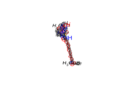 C[C@@H](C(=O)N[C@H](C(=O)N1CCC[C@H]1C(=O)Nc1sc(NC(=O)COCCOCCOCCOCCOCCOCCN(C)C(=O)OCc2ccccc2)nc1-c1ccccc1)C1CCCCC1)N(C)C(=O)O